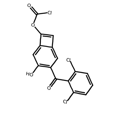 O=C(Cl)OC1=Cc2cc(C(=O)c3c(Cl)cccc3Cl)c(O)cc21